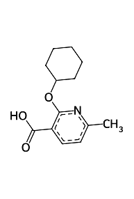 Cc1ccc(C(=O)O)c(OC2CCCCC2)n1